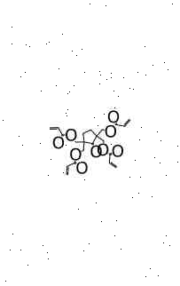 C=CC(=O)OCC1(COC(=O)C=C)CCC(COC(=O)C=C)(COC(=O)C=C)C1=O